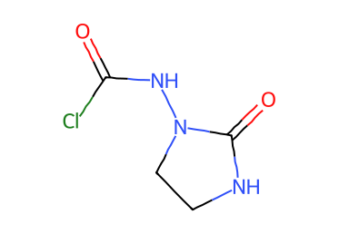 O=C(Cl)NN1CCNC1=O